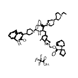 CCN1CCC(N2CCN(C(=O)C(Cc3cc(C)c4nn(COC(=O)C5(c6ccccc6)CCCC5)cc4c3)NC(=O)N3CCC(c4cc5ccccc5[nH]c4=O)CC3)CC2)CC1.O=C(O)C(F)(F)F